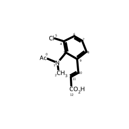 CC(=O)N(C)c1c(Cl)cccc1/C=C/C(=O)O